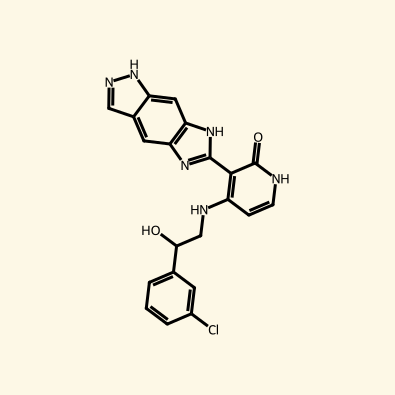 O=c1[nH]ccc(NCC(O)c2cccc(Cl)c2)c1-c1nc2cc3cn[nH]c3cc2[nH]1